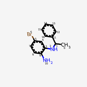 CC(Nc1cc(Br)ccc1N)c1ccccc1